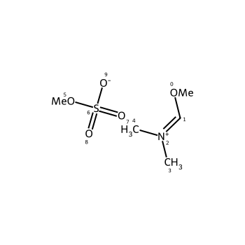 COC=[N+](C)C.COS(=O)(=O)[O-]